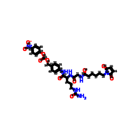 NC(=O)NCCCC(NC(=O)CNC(=O)CCCCCN1C(=O)C=CC1=O)C(=O)Nc1ccc(COC(=O)Oc2ccc([N+](=O)[O-])cc2)cc1